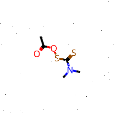 CC(=O)OSC(=S)N(C)C